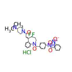 CN(C)C1CCN(C(=O)C=C2c3ccccc3N(C(=O)c3ccc(NC(=O)c4ccccc4[N+](=O)[O-])cc3)CCC2(F)F)CC1.Cl